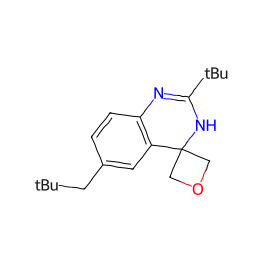 CC(C)(C)Cc1ccc2c(c1)C1(COC1)NC(C(C)(C)C)=N2